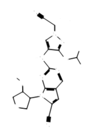 COC1COCC1n1c(C#N)cc2cnc(Nc3cn([C@@H](C)C#N)nc3OC(C)C)nc21